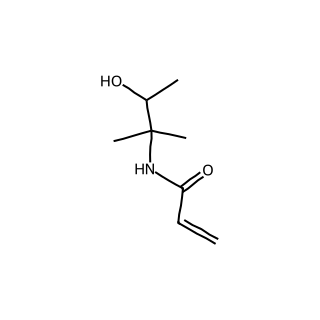 C=CC(=O)NC(C)(C)C(C)O